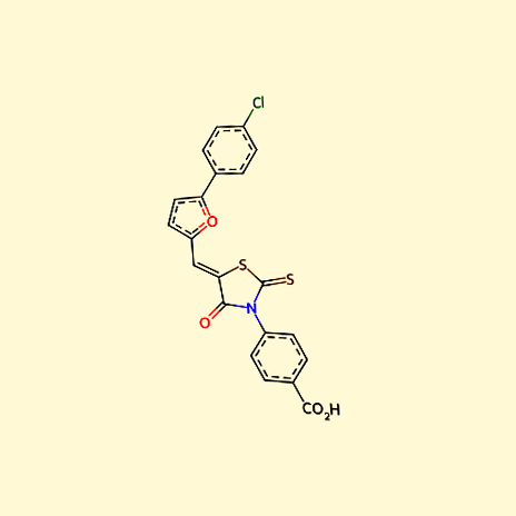 O=C(O)c1ccc(N2C(=O)C(=Cc3ccc(-c4ccc(Cl)cc4)o3)SC2=S)cc1